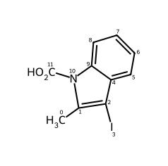 Cc1c(I)c2ccccc2n1C(=O)O